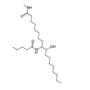 CCCCCCCCC(O)C(CCCCCCCC(=O)NC)NC(=O)CCCC